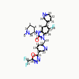 CN1CCCC(n2c(=O)n(Cc3ccc(-c4nnc(C(F)F)o4)cn3)c3cc(F)c(-c4cccnc4)cc32)C1